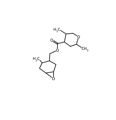 CC1CC(C(=O)OCC2CC3OC3CC2C)C(C)CO1